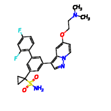 CN(C)CCOc1ccn2ncc(-c3cc(-c4ccc(F)cc4F)cc(C4(S(N)(=O)=O)CC4)c3)c2c1